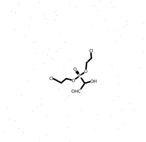 O=CC(O)P(=O)(OCCCl)OCCCl